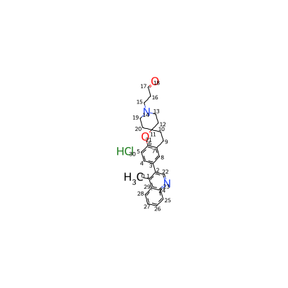 Cc1c(-c2ccc3c(c2)CCC2(CCN(CCC=O)CC2)O3)cnc2ccccc12.Cl